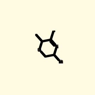 [CH2]C1=NC(CC)COC1C